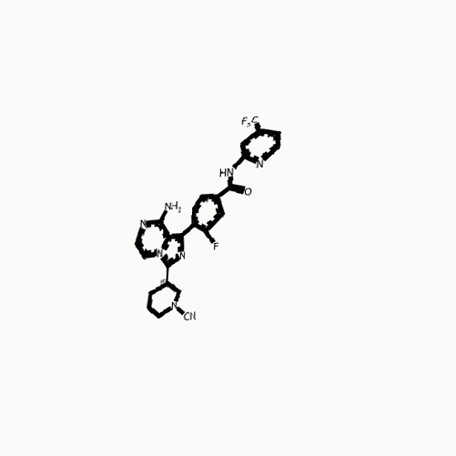 N#CN1CCC[C@@H](c2nc(-c3ccc(C(=O)Nc4cc(C(F)(F)F)ccn4)cc3F)c3c(N)nccn23)C1